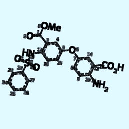 COC(=O)c1cc(Oc2ccc(N)c(C(=O)O)c2)ccc1NS(=O)(=O)c1ccccc1